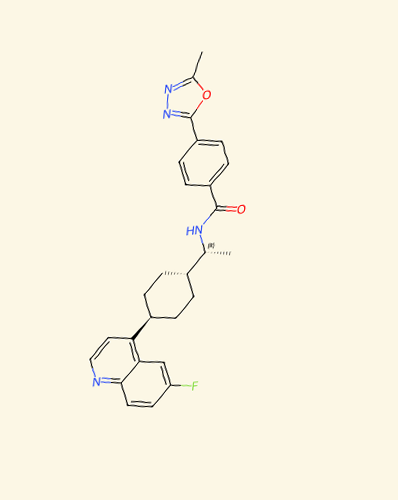 Cc1nnc(-c2ccc(C(=O)N[C@H](C)[C@H]3CC[C@H](c4ccnc5ccc(F)cc54)CC3)cc2)o1